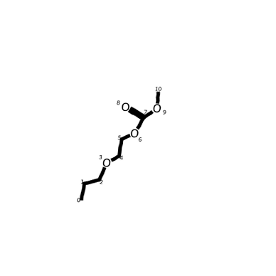 CCCOCCOC(=O)OC